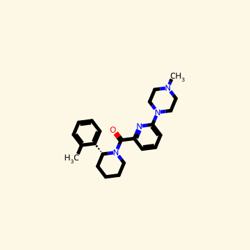 Cc1ccccc1[C@H]1CCCCN1C(=O)c1cccc(N2CCN(C)CC2)n1